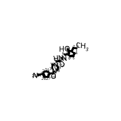 CCCc1cccc(/C=N/NC(=O)CN2CCN(C(=O)c3ccc(C#N)cc3)CC2)c1O